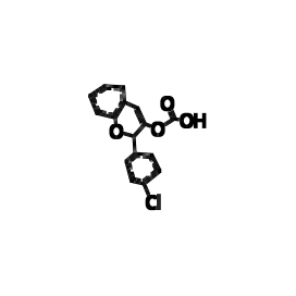 O=C(O)OC1=Cc2ccccc2OC1c1ccc(Cl)cc1